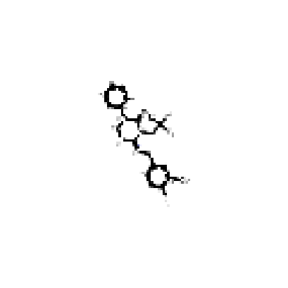 O=C1N(CC(F)(F)F)/C(=N\Cc2ccc(Cl)c(Cl)c2)SCN1c1ccccc1